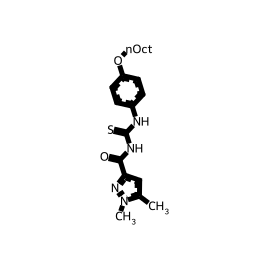 CCCCCCCCOc1ccc(NC(=S)NC(=O)c2cc(C)n(C)n2)cc1